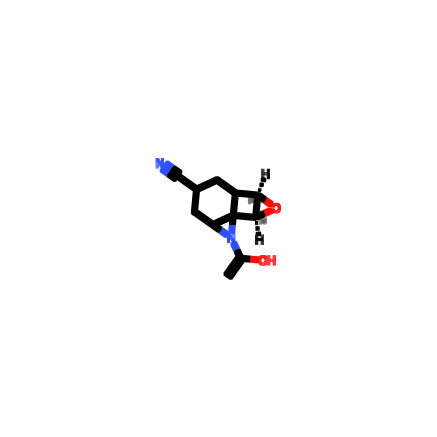 C=C(O)N1C2CC(C#N)CC3[C@H]4O[C@H]4C321